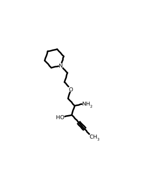 CC#CC(O)C(N)COCCN1CCCCC1